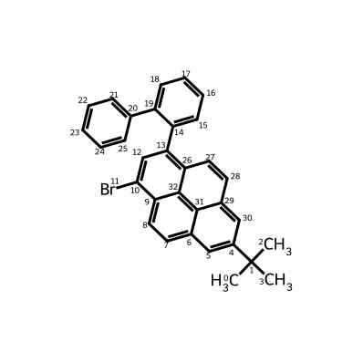 CC(C)(C)c1cc2ccc3c(Br)cc(-c4ccccc4-c4ccccc4)c4ccc(c1)c2c34